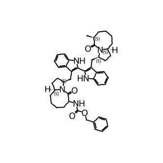 C[C@H]1CCCC[C@H]2CC[C@@H](Cc3c(-c4[nH]c5ccccc5c4C[C@@H]4CC[C@@H]5CCCCC(NC(=O)OCc6ccccc6)C(=O)N54)[nH]c4ccccc34)N2C1=O